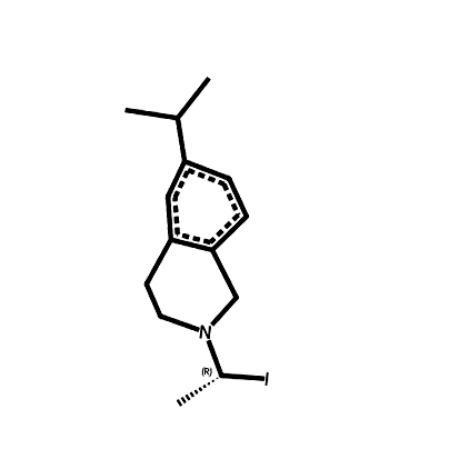 CC(C)c1ccc2c(c1)CCN([C@@H](C)I)C2